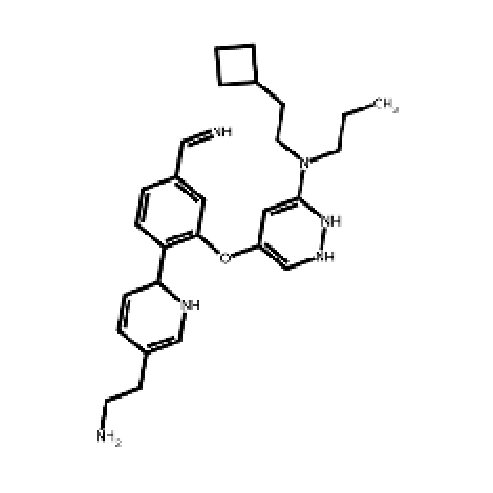 CCCN(CCC1CCC1)C1=CC(Oc2cc(C=N)ccc2C2C=CC(CCN)=CN2)=CNN1